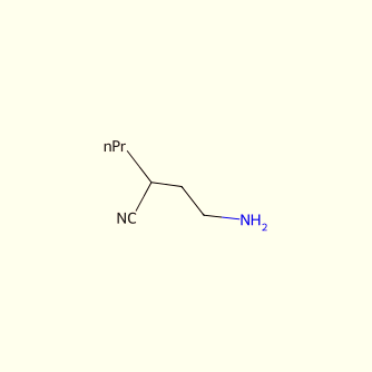 CCCC(C#N)CCN